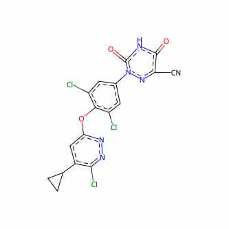 N#Cc1nn(-c2cc(Cl)c(Oc3cc(C4CC4)c(Cl)nn3)c(Cl)c2)c(=O)[nH]c1=O